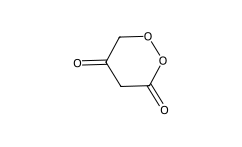 O=C1COOC(=O)C1